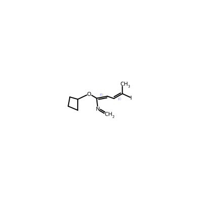 C=N/C(=C\C=C(/C)I)OC1CCC1